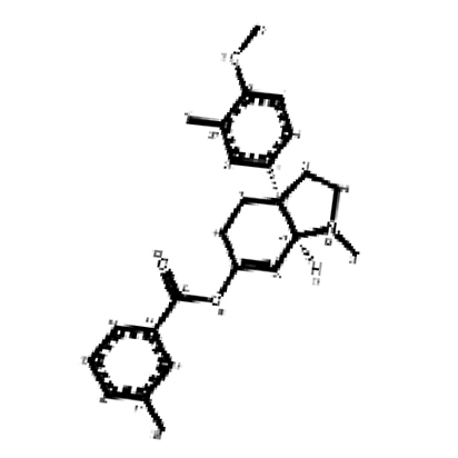 COc1ccc([C@@]23CCC(OC(=O)c4cccc(C)c4)=C[C@@H]2N(C)CC3)cc1C